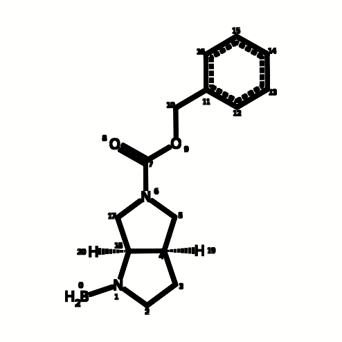 BN1CC[C@@H]2CN(C(=O)OCc3ccccc3)C[C@@H]21